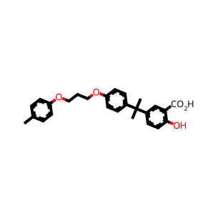 Cc1ccc(OCCCOc2ccc(C(C)(C)c3ccc(O)c(C(=O)O)c3)cc2)cc1